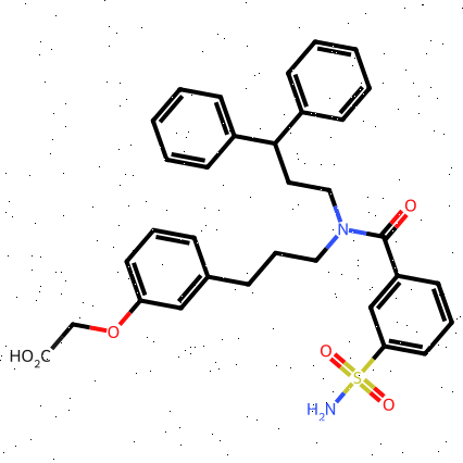 NS(=O)(=O)c1cccc(C(=O)N(CCCc2cccc(OCC(=O)O)c2)CCC(c2ccccc2)c2ccccc2)c1